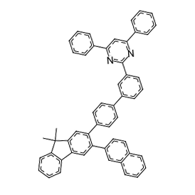 CC1(C)c2ccccc2-c2cc(-c3ccc4ccccc4c3)c(-c3ccc(-c4cccc(-c5nc(-c6ccccc6)cc(-c6ccccc6)n5)c4)cc3)cc21